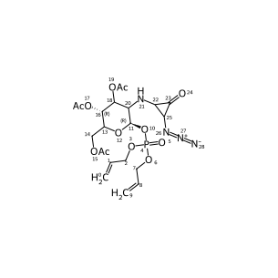 C=CCOP(=O)(OCC=C)O[C@H]1OC(COC(C)=O)[C@H](OC(C)=O)C(OC(C)=O)C1NC1C(=O)C1N=[N+]=[N-]